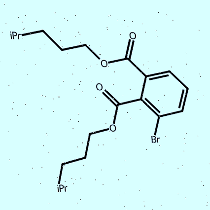 CC(C)CCCOC(=O)c1cccc(Br)c1C(=O)OCCCC(C)C